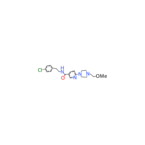 COCCN1CCN(c2ccc(C(=O)NCCc3ccc(Cl)cc3)cn2)CC1